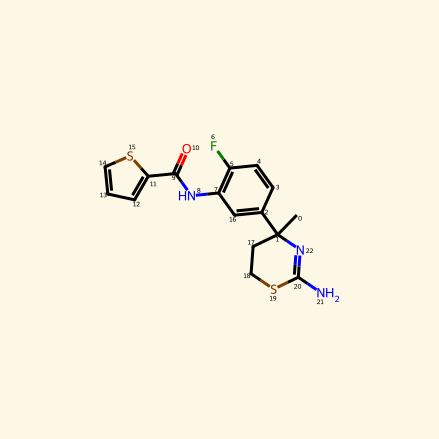 CC1(c2ccc(F)c(NC(=O)c3cccs3)c2)CCSC(N)=N1